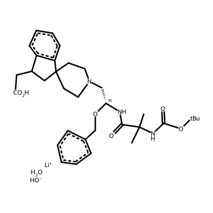 CC(C)(C)OC(=O)NC(C)(C)C(=O)N[C@@H](CN1CCC2(CC1)CC(CC(=O)O)c1ccccc12)OCc1ccccc1.O.[Li+].[OH-]